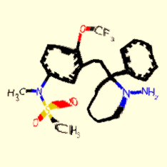 CN(c1ccc(OC(F)(F)F)c(CC2(c3ccccc3)CCCCN2N)c1)S(C)(=O)=O